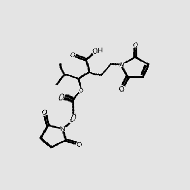 CC(C)C(OC(=O)ON1C(=O)CCC1=O)C(CCN1C(=O)C=CC1=O)C(=O)O